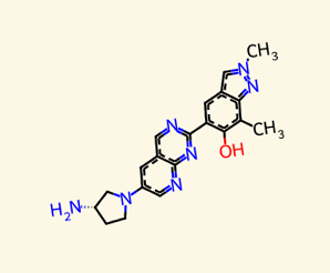 Cc1c(O)c(-c2ncc3cc(N4CC[C@H](N)C4)cnc3n2)cc2cn(C)nc12